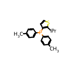 Cc1ccc(P(c2ccc(C)cc2)c2ccsc2C(C)C)cc1